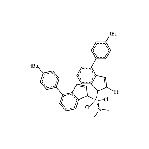 CCC1=Cc2c(-c3ccc(C(C)(C)C)cc3)cccc2[CH]1[Zr]([Cl])([Cl])([CH]1C=Cc2c(-c3ccc(C(C)(C)C)cc3)cccc21)[SiH](C)C